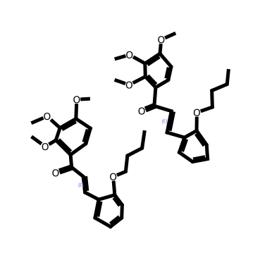 CCCCOc1ccccc1/C=C/C(=O)c1ccc(OC)c(OC)c1OC.CCCCOc1ccccc1/C=C/C(=O)c1ccc(OC)c(OC)c1OC